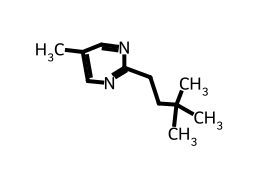 Cc1cnc(CCC(C)(C)C)nc1